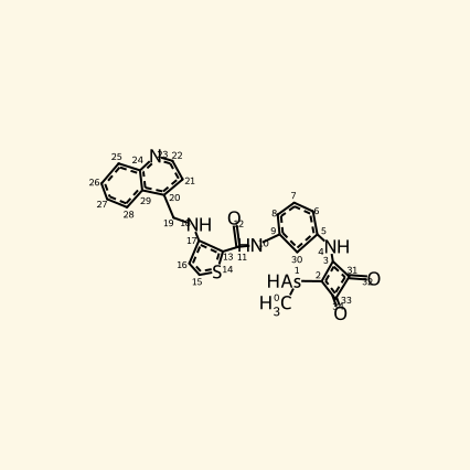 C[AsH]c1c(Nc2cccc(NC(=O)c3sccc3NCc3ccnc4ccccc34)c2)c(=O)c1=O